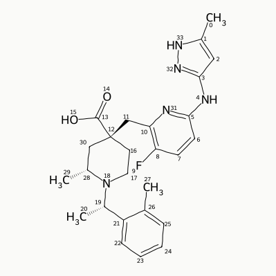 Cc1cc(Nc2ccc(F)c(C[C@@]3(C(=O)O)CCN([C@@H](C)c4ccccc4C)[C@H](C)C3)n2)n[nH]1